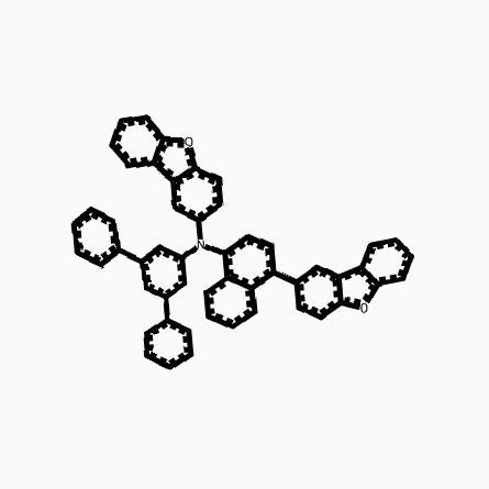 c1ccc(-c2cc(-c3ccccc3)cc(N(c3ccc4oc5ccccc5c4c3)c3ccc(-c4ccc5oc6ccccc6c5c4)c4ccccc34)c2)cc1